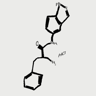 Cl.NC(Cc1ccccc1)C(=O)Nc1ccc2[nH]ncc2c1